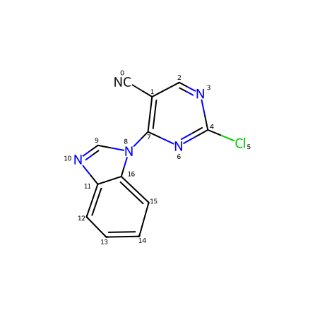 N#Cc1cnc(Cl)nc1-n1cnc2ccccc21